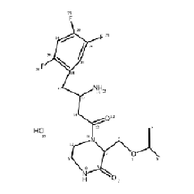 CC(C)OCC1C(=O)NCCN1C(=O)CC(N)Cc1cc(F)c(F)cc1F.Cl